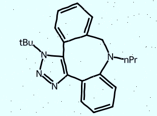 CCCN1Cc2ccccc2-c2c(nnn2C(C)(C)C)-c2ccccc21